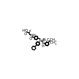 CC(C)(C)c1cccc(NC(=O)N(Cc2ccc(C(=O)NCC(F)C(=O)O)cc2)c2ccc(C3=CCCCC3)cc2)c1